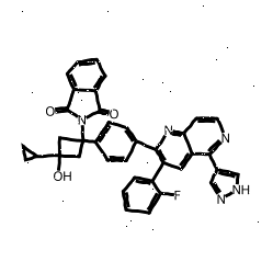 O=C1c2ccccc2C(=O)N1C1(c2ccc(-c3nc4ccnc(-c5cn[nH]c5)c4cc3-c3ccccc3F)cc2)CC(O)(C2CC2)C1